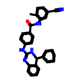 Cc1ccc(C#N)cc1NC(=O)c1ccc(NC2=Nc3ccccc3C(c3ccccc3)N2)cc1